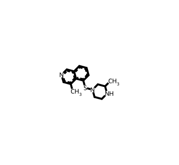 Cc1cncc2cccc(SN3CCNC(C)C3)c12